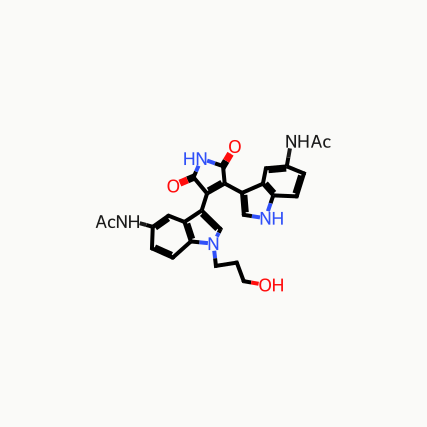 CC(=O)Nc1ccc2[nH]cc(C3=C(c4cn(CCCO)c5ccc(NC(C)=O)cc45)C(=O)NC3=O)c2c1